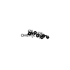 Cc1c(Nc2nccc3cc(CN4CCCC4)cnc23)cccc1-c1cccc(C2=Nc3cc(C=O)cc(C#N)c3C2)c1C